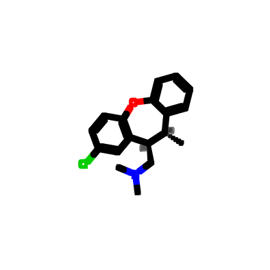 C[C@H]1c2ccccc2Oc2ccc(Cl)cc2[C@@H]1CN(C)C